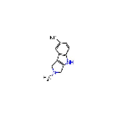 CN1Cc2[nH]c3ccc(C#N)cc3c2C1